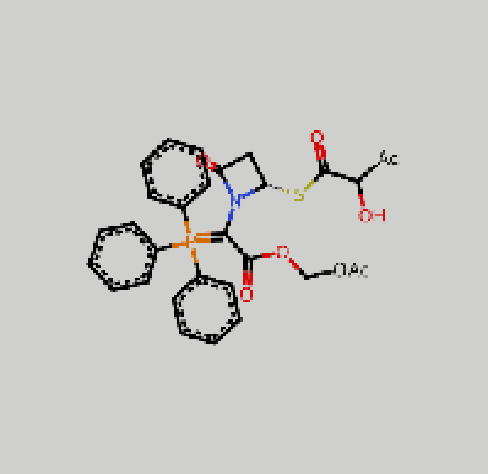 CC(=O)OCOC(=O)C(N1C(=O)C[C@@H]1SC(=O)C(O)C(C)=O)=P(c1ccccc1)(c1ccccc1)c1ccccc1